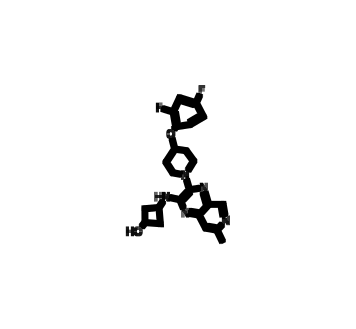 Cc1cc2nc(NC3CC(O)C3)c(N3CCC(Oc4ccc(F)cc4F)CC3)nc2cn1